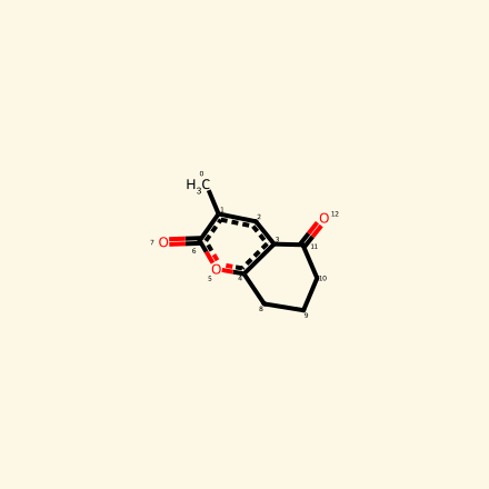 Cc1cc2c(oc1=O)CCCC2=O